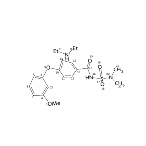 CCNCC.COc1cccc(Oc2ccc(C(=O)NS(=O)(=O)N(C)C)cc2)c1